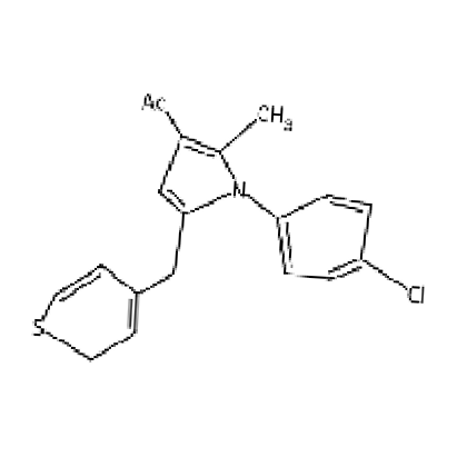 CC(=O)c1cc(CC2=CCSC=C2)n(-c2ccc(Cl)cc2)c1C